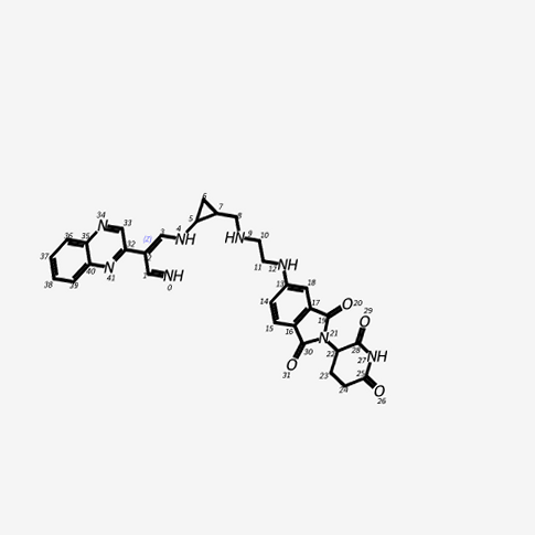 N=C/C(=C\NC1CC1CNCCNc1ccc2c(c1)C(=O)N(C1CCC(=O)NC1=O)C2=O)c1cnc2ccccc2n1